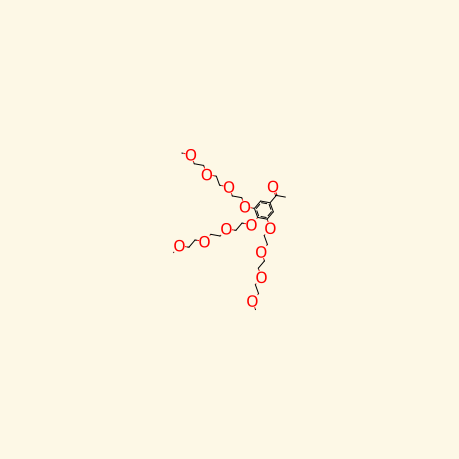 COCCOCCOCCOc1cc(C(C)=O)cc(OCCOCCOCCOC)c1OCCOCCOCCOC